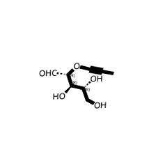 CC#CO[C@@H](C=O)[C@H](O)[C@H](O)CO